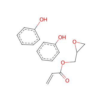 C=CC(=O)OCC1CO1.Oc1ccccc1.Oc1ccccc1